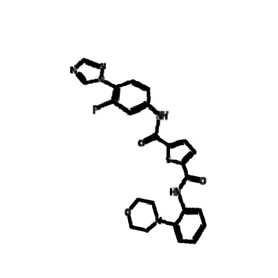 O=C(Nc1ccc(-n2cncn2)c(F)c1)c1ccc(C(=O)Nc2ccccc2N2CCOCC2)s1